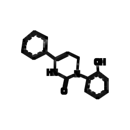 O=C1NC(c2ccccc2)=CCN1c1ccccc1O